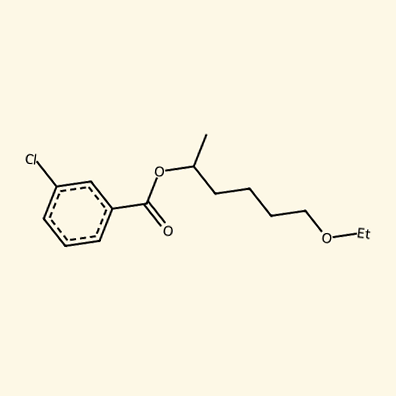 CCOCCCCC(C)OC(=O)c1cccc(Cl)c1